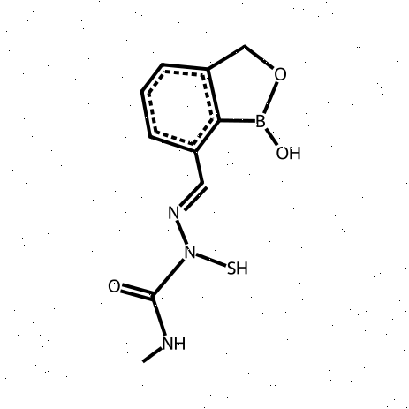 CNC(=O)N(S)N=Cc1cccc2c1B(O)OC2